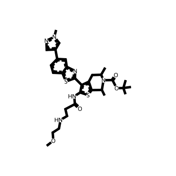 COCCNCCC(=O)Nc1sc2c(c1-c1nc3cc(-c4cnn(C)c4)ccc3s1)CC(C)N(C(=O)OC(C)(C)C)C2C